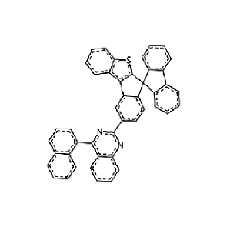 c1ccc2c(c1)-c1ccccc1C21c2ccc(-c3nc(-c4cccc5ccccc45)c4ccccc4n3)cc2-c2c1sc1ccccc21